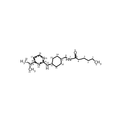 CCCCCC(=O)NC[C@H]1CC[C@@H](Nc2nccc(N(C)C)n2)CC1